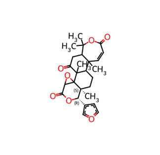 CC1(C)OC(=O)C=CC2(C)C1CC(=O)C1(C)C2CC[C@@]2(C)[C@H](c3ccoc3)OC(=O)C3OC312